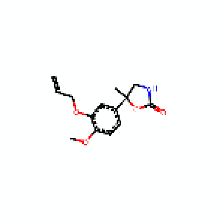 C=CCOc1cc(C2(C)CNC(=O)O2)ccc1OC